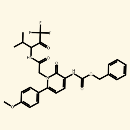 COc1ccc(-c2ccc(NC(=O)OCc3ccccc3)c(=O)n2CC(=O)NC(C(=O)C(F)(F)F)C(C)C)cc1